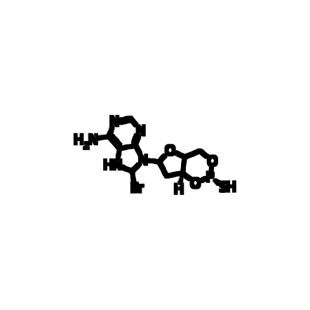 Nc1ncnc2c1NC(Br)N2C1C[C@@H]2O[P@](S)OCC2O1